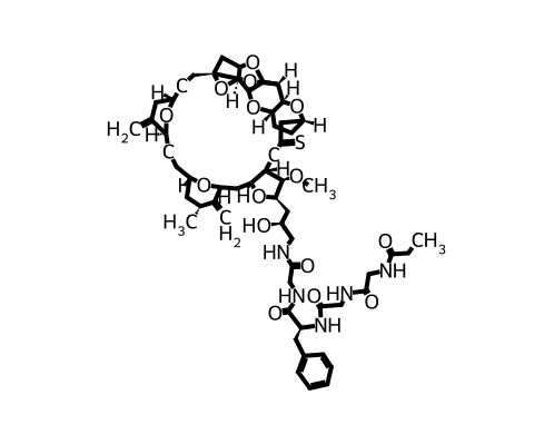 C=C1C[C@@H]2CC[C@@]34CC5OC6C(O[C@H]7CC[C@H](CC(=S)C[C@@H]8[C@@H](OC)[C@@H](C[C@H](O)CNC(=O)CNC(=O)[C@H](Cc9ccccc9)NC(=O)CNC(=O)CNC(=O)CC)O[C@H]8C[C@H]8O[C@@H](CC[C@@H]1O2)C[C@@H](C)C8=C)O[C@@H]7[C@@H]6O3)[C@H]5O4